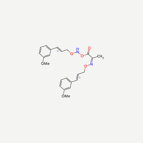 COc1cccc(/C=C/CON=C(C)C(=O)ONOC/C=C/c2cccc(OC)c2)c1